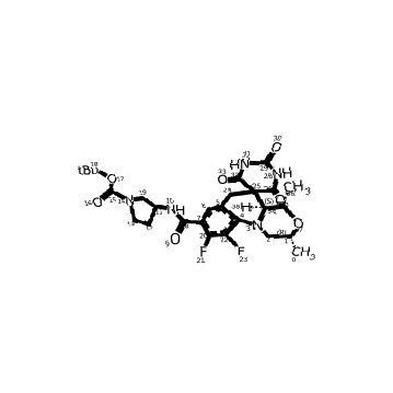 C[C@@H]1CN2c3c(cc(C(=O)NC4CCN(C(=O)OC(C)(C)C)C4)c(F)c3F)CC3(C(=O)NC(=O)NC3=O)[C@H]2[C@H](C)O1